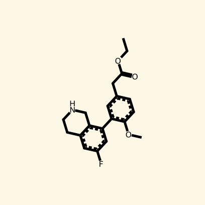 CCOC(=O)Cc1ccc(OC)c(-c2cc(F)cc3c2CNCC3)c1